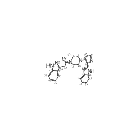 C[C@@H]1CN(c2scnc2-c2nc3ccccc3[nH]2)CCN1C(=O)Cc1n[nH]c2ccccc12